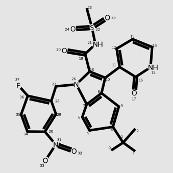 CC(C)(C)c1ccc2c(c1)c(-c1ccc[nH]c1=O)c(C(=O)NS(C)(=O)=O)n2Cc1cc([N+](=O)[O-])ccc1F